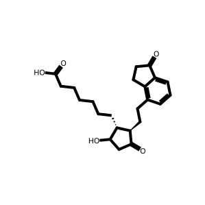 O=C(O)CCCCCC[C@H]1C(O)CC(=O)[C@@H]1CCc1cccc2c1CCC2=O